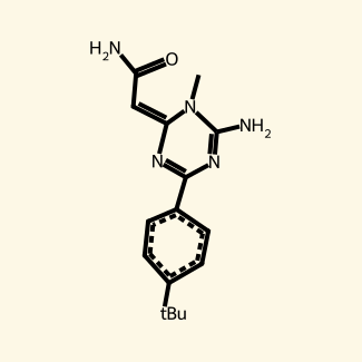 CN1C(N)=NC(c2ccc(C(C)(C)C)cc2)=N/C1=C/C(N)=O